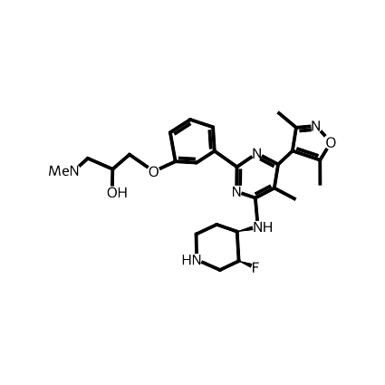 CNCC(O)COc1cccc(-c2nc(N[C@@H]3CCNC[C@@H]3F)c(C)c(-c3c(C)noc3C)n2)c1